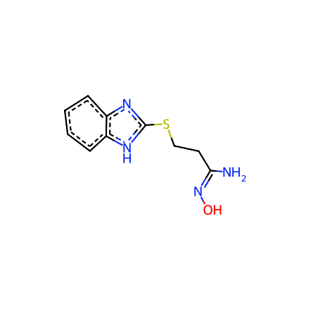 NC(CCSc1nc2ccccc2[nH]1)=NO